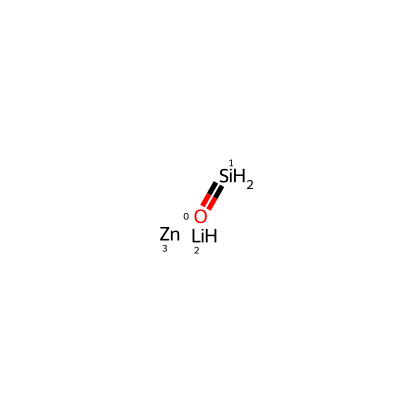 O=[SiH2].[LiH].[Zn]